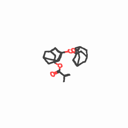 C=C(C)C(=O)OC12CC3CC(C1)CC(OC14CC5CC(C1)C(=O)C(C5)C4)(C3)C2